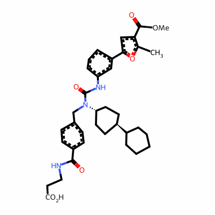 COC(=O)c1cc(-c2cccc(NC(=O)N(Cc3ccc(C(=O)NCCC(=O)O)cc3)[C@H]3CC[C@H](C4CCCCC4)CC3)c2)oc1C